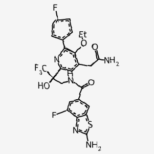 CCOc1c(CC(N)=O)cc([C@@](O)(CNC(=O)c2cc(F)c3nc(N)sc3c2)C(F)(F)F)nc1-c1ccc(F)cc1